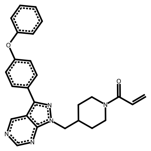 C=CC(=O)N1CCC(Cn2nc(-c3ccc(Oc4ccccc4)cc3)c3cncnc32)CC1